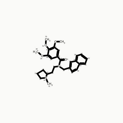 COc1cc(C(=O)N(CCC2CCCN2C)Cc2ccc3ccccc3c2)cc(OC)c1OC